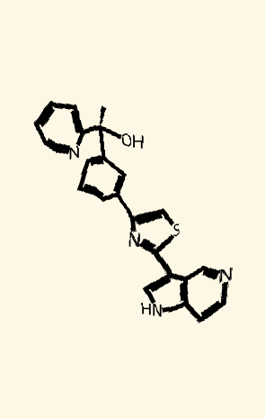 C[C@@](O)(c1cccc(-c2csc(-c3c[nH]c4ccncc34)n2)c1)c1ccccn1